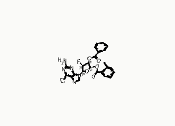 Cc1ccccc1C(=O)O[C@H]1O[C@@H](n2cnc3c(Cl)nc(N)nc32)[C@@H](F)[C@@H]1OC(=O)c1ccccc1